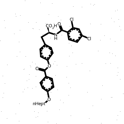 CCCCCCCOc1ccc(C(=O)Oc2ccc(C[C@H](NC(=O)c3ccc(Cl)cc3Cl)C(=O)O)cc2)cc1